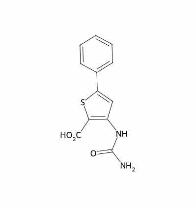 NC(=O)Nc1cc(-c2ccccc2)sc1C(=O)O